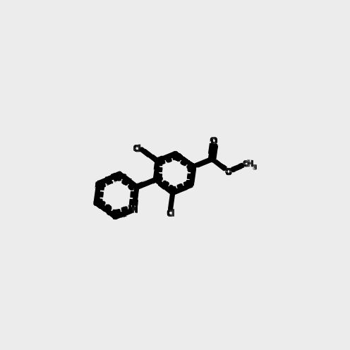 COC(=O)c1cc(Cl)c(-c2ccccn2)c(Cl)c1